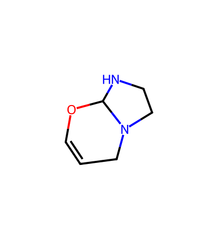 C1=COC2NCCN2C1